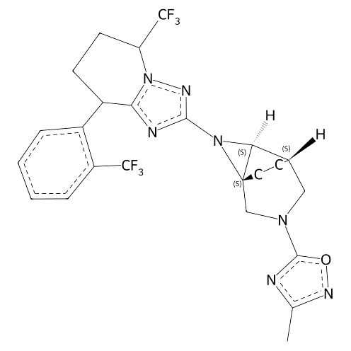 Cc1noc(N2C[C@@H]3CC[C@]4(C2)[C@H]3N4c2nc3n(n2)C(C(F)(F)F)CCC3c2ccccc2C(F)(F)F)n1